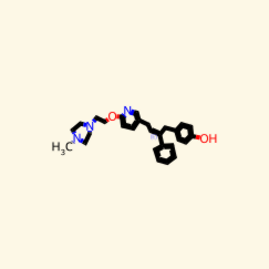 CN1CCN(CCOc2ccc(C/C=C(\Cc3ccc(O)cc3)c3ccccc3)cn2)CC1